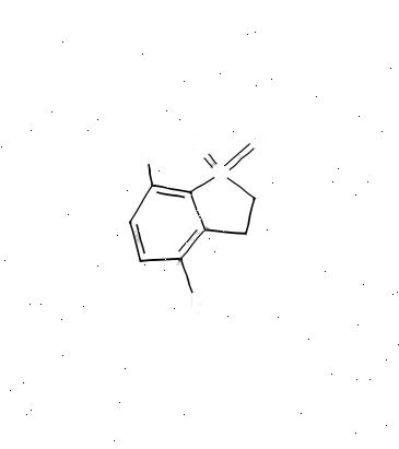 Cc1ccc(Br)c2c1S(=O)(=O)CC2